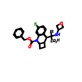 CCC(NC1COC1)(C(=O)O)C1c2ccc(F)cc2N(C(=O)OCc2ccccc2)C2CCC21